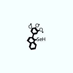 COc1cc(-c2ccc3ccccc3c2[SeH])cc(OC)c1OC